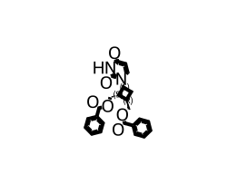 O=C(OC[C@@H]1C[C@H](n2ccc(=O)[nH]c2=O)[C@H]1COC(=O)c1ccccc1)c1ccccc1